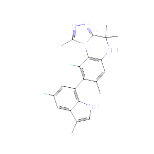 Cc1cc2c(c(F)c1-c1cc(F)cc3c(C)c[nH]c13)-n1c(C)nnc1C(C)(C)N2